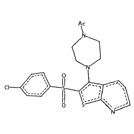 CC(=O)N1CCN(c2c(S(=O)(=O)c3ccc(Cl)cc3)sc3ncccc23)CC1